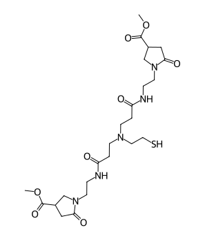 COC(=O)C1CC(=O)N(CCNC(=O)CCN(CCS)CCC(=O)NCCN2CC(C(=O)OC)CC2=O)C1